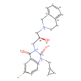 O=c1c2cc(F)ccc2n(CC2CC2)c(=O)n1C[C@H](O)CN1CCc2ccccc2C1